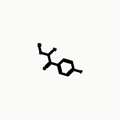 CCOC(Br)C(=O)c1ccc(F)cc1